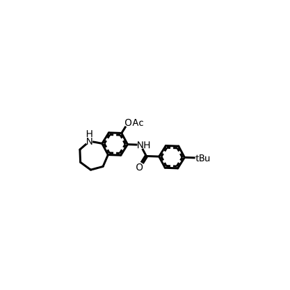 CC(=O)Oc1cc2c(cc1NC(=O)c1ccc(C(C)(C)C)cc1)CCCCN2